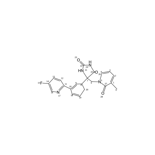 Cc1cccn(CC2(C3C=C(c4ccc(F)cn4)C=CC3)NC(=O)NC2=O)c1=O